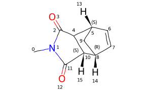 CN1C(=O)C2[C@@H]3C=C[C@@H](C3)[C@@H]2C1=O